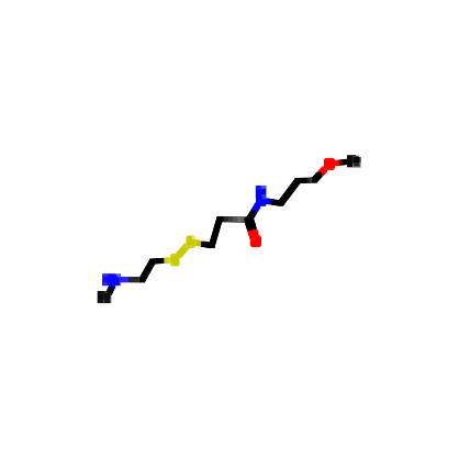 CCNCCSSCCC(=O)NCCCOCC